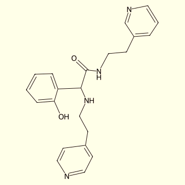 O=C(NCCc1cccnc1)C(NCCc1ccncc1)c1ccccc1O